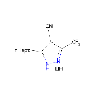 CCCCCCCC1NN=C(C(F)(F)F)C1C#N.[LiH]